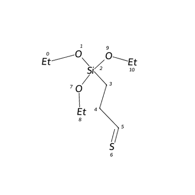 CCO[Si](CCC=S)(OCC)OCC